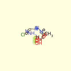 COc1cc2c(cc1OC)C(c1ccccc1)N(CCCc1cn(CCCCC3=CC4Cc5nc6cc(Cl)ccc6c(N)c5C(C3)C4)nn1)CC2.O=C(O)C(F)(F)F.O=C(O)C(F)(F)F